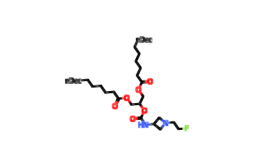 CCCCCCCCCCCCCCCC(=O)OCC(COC(=O)CCCCCCCCCCCCCCC)OC(=O)NC1CN(CCF)C1